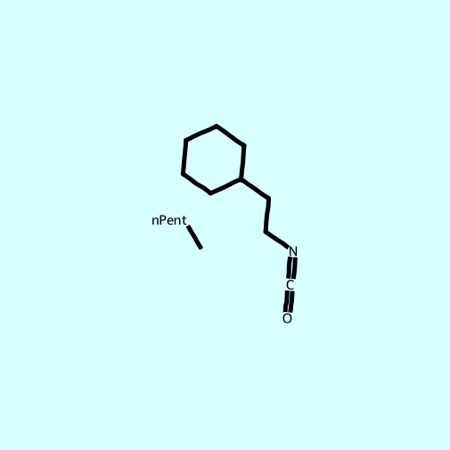 CCCCCC.O=C=NCC[C]1CCCCC1